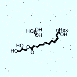 CCCCCC[C@@H](O)C/C=C\CCCCCCCC(=O)OCC(O)CO.OB(O)O